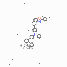 CC1(C)c2ccccc2-c2c(-c3ccc(N(c4ccccc4)c4ccc(C5=Cc6c(ccc7oc(-c8ccccc8)nc67)CC5)cc4)cc3)cccc21